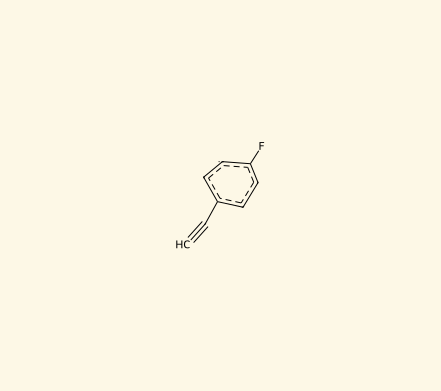 C#Cc1c[c]c(F)cc1